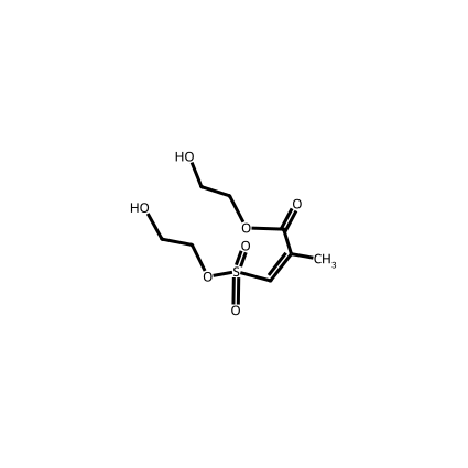 CC(=CS(=O)(=O)OCCO)C(=O)OCCO